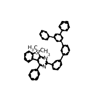 C[Si]1(C)c2ccccc2-c2c(-c3ccccc3)nc(-c3cccc(-c4cccc(-c5cc(-c6ccccc6)cc(-c6ccccc6)c5)c4)c3)nc21